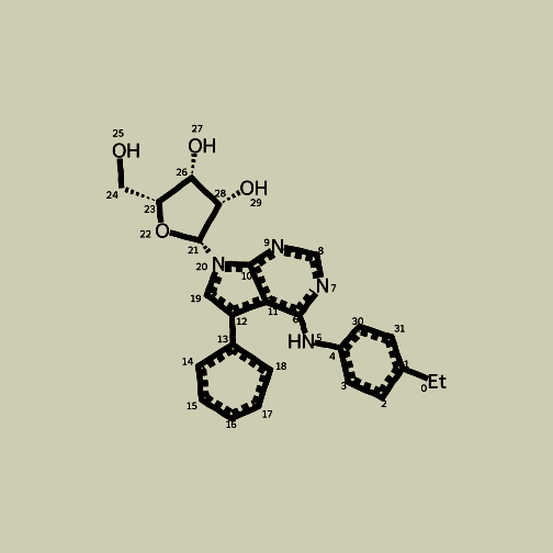 CCc1ccc(Nc2ncnc3c2c(-c2ccccc2)cn3[C@@H]2O[C@H](CO)[C@H](O)[C@@H]2O)cc1